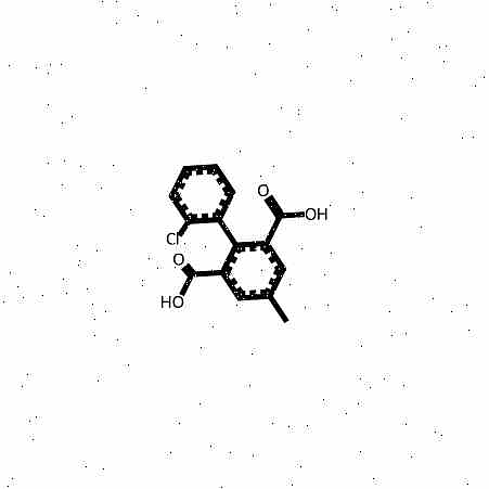 Cc1cc(C(=O)O)c(-c2ccccc2Cl)c(C(=O)O)c1